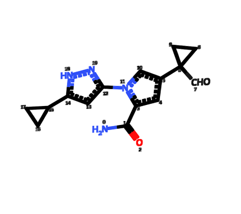 NC(=O)c1cc(C2(C=O)CC2)cn1-c1cc(C2CC2)[nH]n1